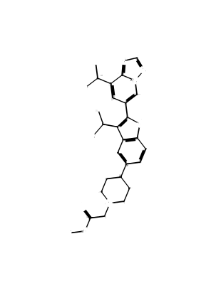 CNC(=O)CN1CCC(c2ccc3[nH]c(-c4cc(C(C)C)c5ncnn5c4)c(C(C)C)c3c2)CC1